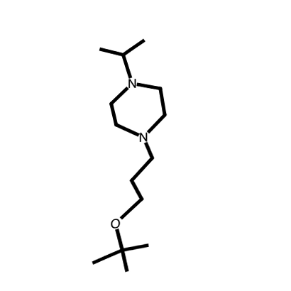 CC(C)N1CCN(CCCOC(C)(C)C)CC1